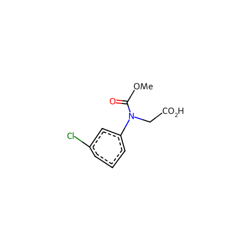 COC(=O)N(CC(=O)O)c1cccc(Cl)c1